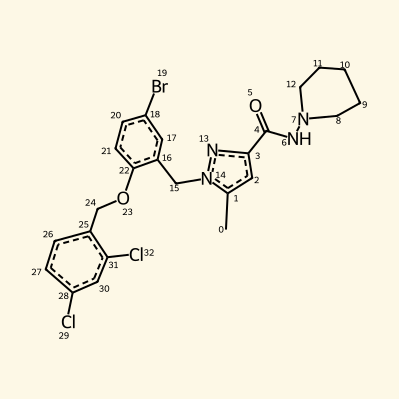 Cc1cc(C(=O)NN2CCCCC2)nn1Cc1cc(Br)ccc1OCc1ccc(Cl)cc1Cl